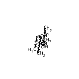 CCCCCCCCCCCC(=O)O.CCC[CH2][Sn][CH2]CCC.CCC[CH2][Sn][CH2]CCC.O=C(O)/C=C\C(=O)O